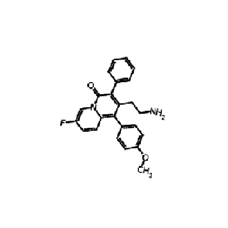 COc1ccc(-c2c(CCN)c(-c3ccccc3)c(=O)n3cc(F)ccc23)cc1